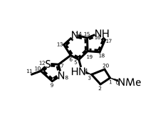 CN[C@H]1C[C@@H](Nc2c(-c3ncc(C)s3)cnc3[nH]ccc23)C1